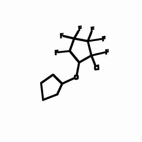 FC1C(OC2CCCC2)C(F)(Cl)C(F)(F)C1(F)F